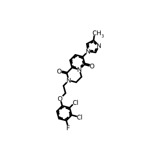 Cc1cn(-c2ccc3n(c2=O)CCN(CCOc2ccc(F)c(Cl)c2Cl)C3=O)cn1